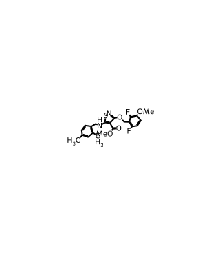 COC(=O)c1c(OCc2c(F)ccc(OC)c2F)nsc1NCc1ccc(C)cc1C